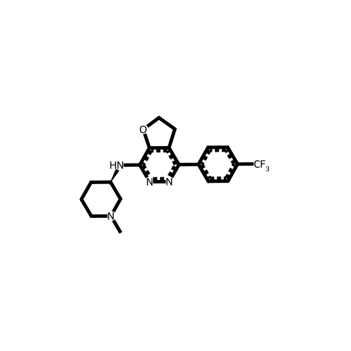 CN1CCC[C@@H](Nc2nnc(-c3ccc(C(F)(F)F)cc3)c3c2OCC3)C1